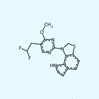 COc1nc(N2CSc3ccc4cc[nH]c4c32)ncc1CC(F)F